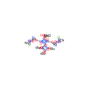 CC(C)(C)OC(=O)CN1CCN(CC(=O)OC(C)(C)C)CCN(CC(=O)N2CCN(C(=O)NCCCCOc3ccc4nccc(C(=O)NCC(=O)N5CC(F)(F)C[C@H]5C#N)c4c3)CCN(CC(=O)OC(C)(C)C)CCN(C(=O)NCCCCOc3ccc4nccc(C(=O)NCC(=O)N5CC(F)(F)C[C@H]5C#N)c4c3)CC2)CCN(CC(=O)OC(C)(C)C)CC1.O=CO